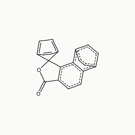 O=C1OC2(C3=CC=C2C=C3)c2c1ccc1c3ccc(cc3)c21